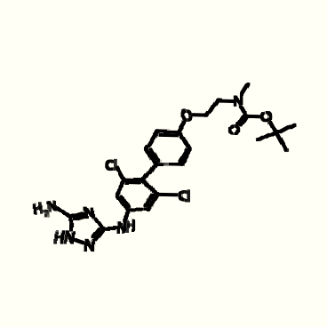 CN(CCOc1ccc(-c2c(Cl)cc(Nc3n[nH]c(N)n3)cc2Cl)cc1)C(=O)OC(C)(C)C